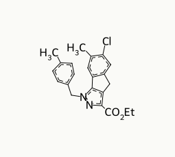 CCOC(=O)c1nn(Cc2ccc(C)cc2)c2c1Cc1cc(Cl)c(C)cc1-2